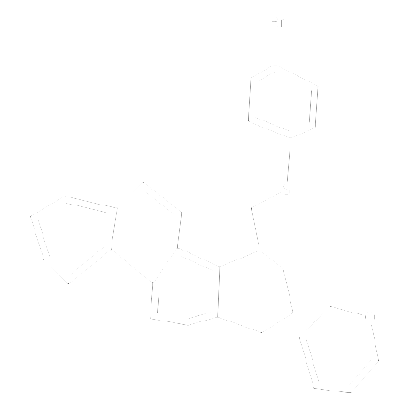 Brc1ccc(SCC2CCCc3ccc4c(ccc5ccccc54)c32)cc1.C1=CCOC=C1